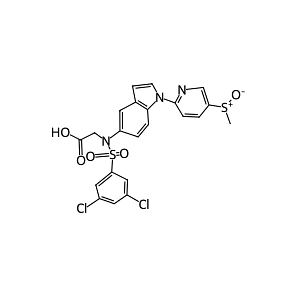 C[S+]([O-])c1ccc(-n2ccc3cc(N(CC(=O)O)S(=O)(=O)c4cc(Cl)cc(Cl)c4)ccc32)nc1